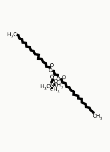 CCCCCCCCCCCCCCCCCC(=O)OCC(COC(=O)CCCCCCCCCCCCCCCCC)OC(=O)C[N+](C)(C)C